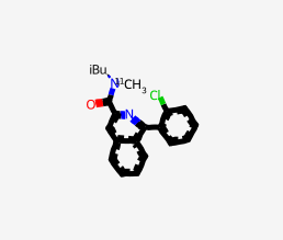 CC[C@@H](C)N([11CH3])C(=O)c1cc2ccccc2c(-c2ccccc2Cl)n1